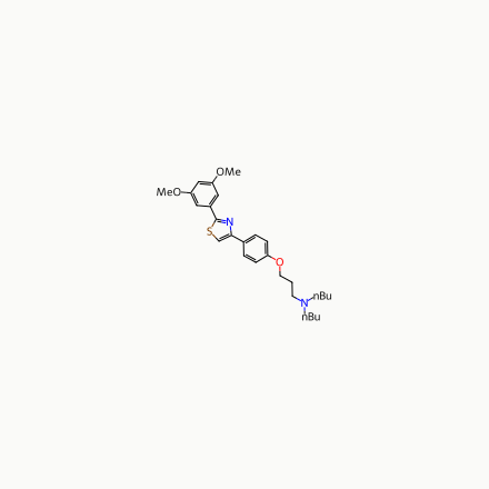 CCCCN(CCCC)CCCOc1ccc(-c2csc(-c3cc(OC)cc(OC)c3)n2)cc1